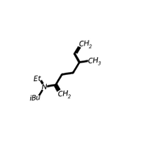 C=CC(C)CCC(=C)N(CC)C(C)CC